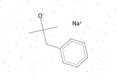 CC(C)([O-])Cc1ccccc1.[Na+]